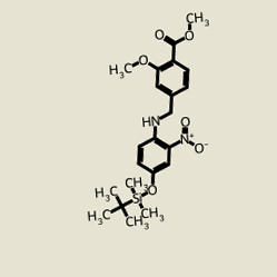 COC(=O)c1ccc(CNc2ccc(O[Si](C)(C)C(C)(C)C)cc2[N+](=O)[O-])cc1OC